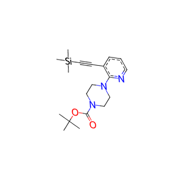 CC(C)(C)OC(=O)N1CCN(c2ncccc2C#C[Si](C)(C)C)CC1